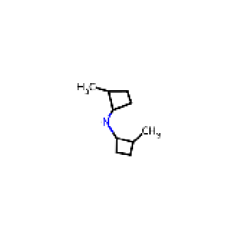 CC1CCC1[N]C1CCC1C